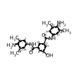 Cc1cc(NC(=O)c2cc(O)cc(C(=O)Nc3cc(C)c(N)c(C)c3)c2)cc(C)c1N